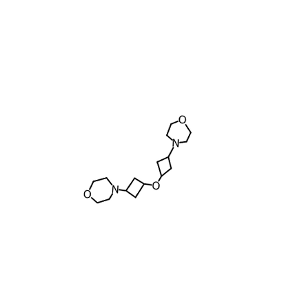 C1CN(C2CC(OC3CC(N4CCOCC4)C3)C2)CCO1